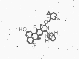 C#Cc1c(F)ccc2cc(O)cc(-c3c(F)cc4c(N5C[C@H]6CC[C@@H](C5)N6)nc(OC[C@]5(C)CN(C)CCC56CC6)nc4c3F)c12